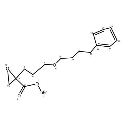 CCCOC(=O)C1(CCCOCCCCc2ccccc2)CO1